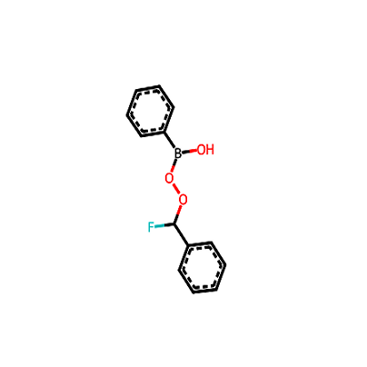 OB(OOC(F)c1ccccc1)c1ccccc1